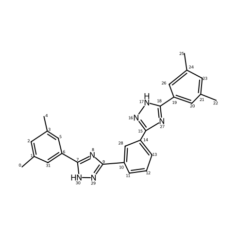 Cc1cc(C)cc(-c2nc(-c3cccc(-c4n[nH]c(-c5cc(C)cc(C)c5)n4)c3)n[nH]2)c1